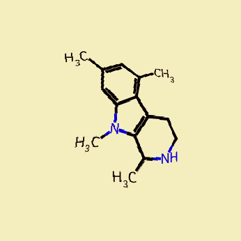 Cc1cc(C)c2c3c(n(C)c2c1)C(C)NCC3